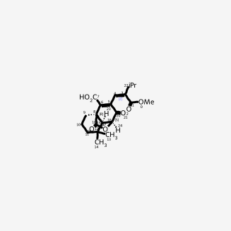 COC(=O)/C(=C\C1=C(C(=O)O)[C@@]23CCCC(C)(C)[C@@H]2[C@H](OC3=O)C1=O)C(C)C